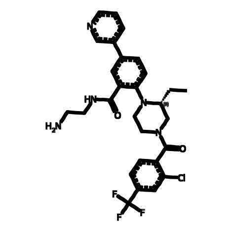 CC[C@@H]1CN(C(=O)c2ccc(C(F)(F)F)cc2Cl)CCN1c1ccc(-c2cccnc2)cc1C(=O)NCCN